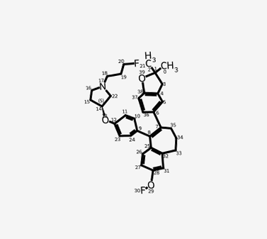 CC1(C)Cc2cc(C3=C(c4ccc(O[C@H]5CCN(CCCF)C5)cc4)c4ccc(OF)cc4CCC3)ccc2O1